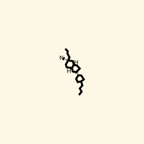 CCCCC1CCC([C@H]2CC[C@@H]3C[C@](C#N)(CCCC)CC[C@@H]3C2)CC1